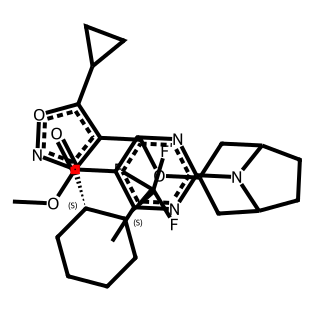 COC(=O)c1cnc(N2C3CCC2CC(OCc2c([C@H]4CCCC[C@@H]4C(F)(F)F)noc2C2CC2)C3)nc1C